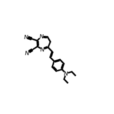 CCN(CC)c1ccc(C=CC2=NC(C#N)=C(C#N)N=CC2)cc1